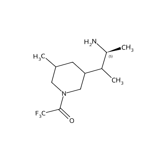 CC1CC(C(C)[C@H](C)N)CN(C(=O)C(F)(F)F)C1